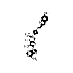 CC(C)(C)c1ccc2c(c1)N=C(CC[C@H]1C[C@@H](N(C[C@H]3O[C@@H](n4cnc5c(N)ncnc54)[C@H](O)[C@@H]3O)CC(F)(F)F)C1)C2